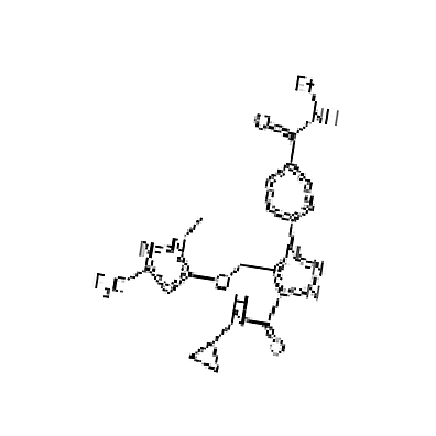 CCNC(=O)c1ccc(-n2nnc(C(=O)NC3CC3)c2COc2cc(C(F)(F)F)nn2C)cc1